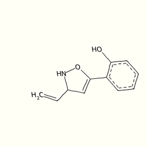 C=CC1C=C(c2ccccc2O)ON1